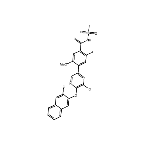 COc1cc(C(=O)NS(C)(=O)=O)c(F)cc1-c1cnc(Oc2cc3ccccc3cc2Cl)c(Cl)c1